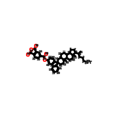 CC(C)CCCC(C)C1CCC2C3CCC4CC(c5ccccc5)(c5ccc(OC(=O)c6ccc7c(c6)C(=O)OC7=O)cc5)CCC4(C)C3CCC12C